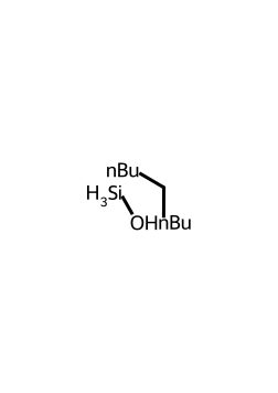 CCCCCCCCC.O[SiH3]